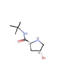 CC(C)(C)NC(=O)[C@@H]1C[C@@H](O)CN1